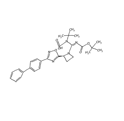 CC(C)(C)OC(=O)/N=C(\N1CC[C@H]1c1nc(-c2ccc(-c3ccccc3)cc2)no1)N(C(=O)O)C(C)(C)C